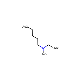 CC(=O)OCCCCN(COC(C)=O)N=O